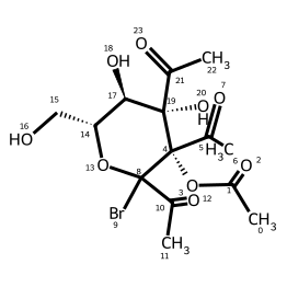 CC(=O)O[C@]1(C(C)=O)C(Br)(C(C)=O)O[C@H](CO)[C@@H](O)[C@@]1(O)C(C)=O